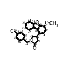 COc1ccc(C2CC(=O)N(Cc3ccc(Cl)cc3)C2)c2c1oc1ccccc12